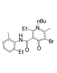 CCCCn1c(C)c(Br)c(=O)c(C(=O)Nc2c(C)cccc2CC)c1CC